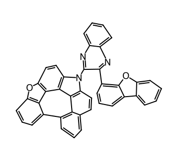 c1cc2c3c(c1)ccc1c3c3c4c(ccc3n1-c1nc3ccccc3nc1-c1cccc3c1oc1ccccc13)oc1cccc-2c14